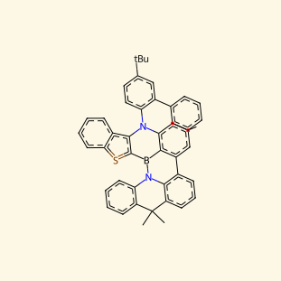 Cc1cc2c3c(c1)N(c1ccc(C(C)(C)C)cc1-c1ccccc1)c1c(sc4ccccc14)B3N1c3ccccc3C(C)(C)c3cccc-2c31